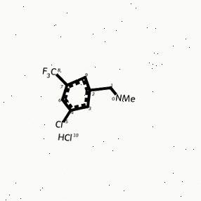 CNCc1cc(Cl)cc(C(F)(F)F)c1.Cl